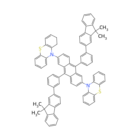 CC1(C)c2ccccc2-c2ccc(-c3cccc(-c4c5ccc(N6c7ccccc7Sc7ccccc76)cc5c(-c5cccc(-c6ccc7c(c6)C(C)(C)c6ccccc6-7)c5)c5ccc(N6C7=C(C=CCC7)Sc7ccccc76)cc45)c3)cc21